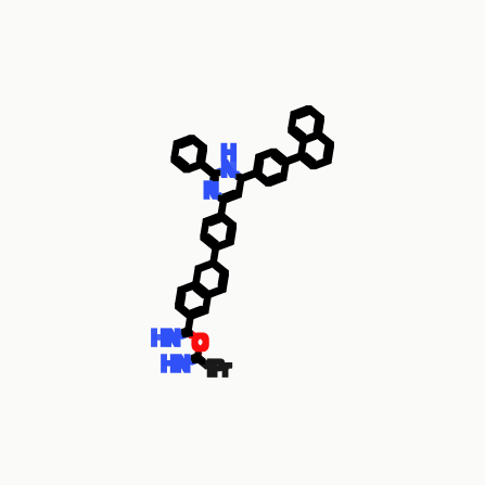 CC(C)C(=N)OC(=N)c1ccc2c(c1)C=CC(c1ccc(C3=CC(c4ccc(-c5cccc6ccccc56)cc4)NC(c4ccccc4)=N3)cc1)C2